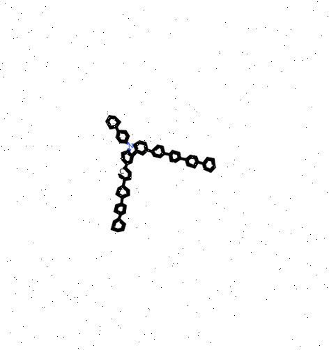 c1ccc(-c2ccc(-c3ccc(-c4ccc(-c5ccc6c(c5)c5cc(-c7ccc(-c8ccc(-c9ccc(-c%10ccccc%10)cc9)cc8)cc7)ccc5n6-c5ccc(-c6ccccc6)cc5)cc4)cc3)cc2)cc1